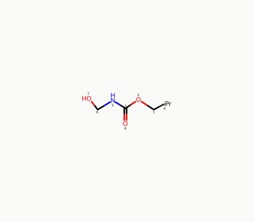 CC(C)COC(=O)NCO